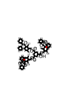 Cc1cc(C)c(C(=O)P(c2ccccc2)c2ccccc2)c(C)c1COC(=O)C1CC(C(=O)OCc2c(C)cc(C)c(C(=O)P(=O)(c3ccccc3)c3ccccc3)c2C)CC(C(O)OCc2c(C)cc(C)c(C(=O)P(=O)(c3ccccc3)c3ccccc3)c2C)C1